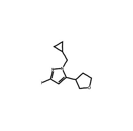 Ic1cc(C2CCOC2)n(CC2CC2)n1